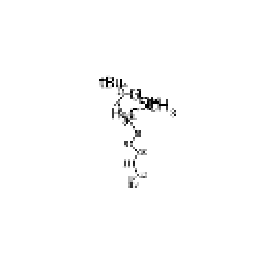 C[SiH](C)OC(CC#CCCCCCI)C(C)(C)C